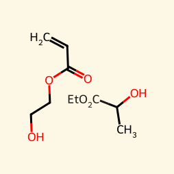 C=CC(=O)OCCO.CCOC(=O)C(C)O